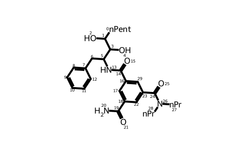 CCCCCC(O)C(O)C(Cc1ccccc1)NC(=O)c1cc(C(N)=O)cc(C(=O)N(CCC)CCC)c1